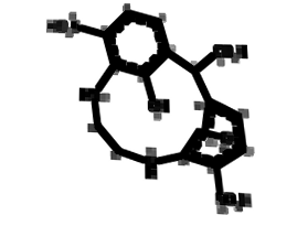 O=C(O)C1c2ccc(S(=O)(=O)O)c(c2O)NCCNc2c(S(=O)(=O)O)ccc1c2O